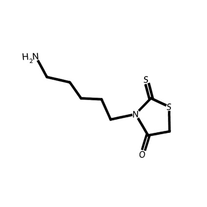 NCCCCCN1C(=O)CSC1=S